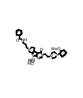 COc1ccccc1N1CCN(CCn2cnc3sc4c(c3c2=O)CCN(CCCNC(=O)c2ccccc2)C4)CC1.Cl.Cl.Cl